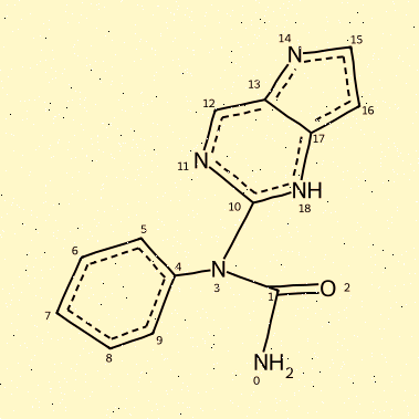 NC(=O)N(c1ccccc1)c1ncc2nccc-2[nH]1